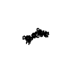 COCCC(C)(NC(=O)c1cncnc1)C(=O)NCc1ccc(Oc2ccc(OC)cc2C(F)(F)F)cc1